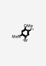 CNc1cc(OC)c(F)cc1Br